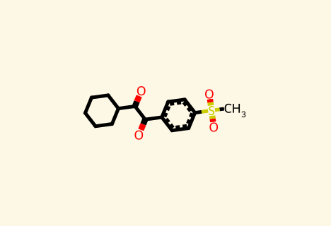 CS(=O)(=O)c1ccc(C(=O)C(=O)C2CCCCC2)cc1